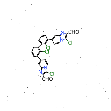 O=Cc1nc2cc(-c3cccc(-c4cccc(-c5ccn6c(Cl)c(C=O)nc6c5)c4Cl)c3Cl)ccn2c1Cl